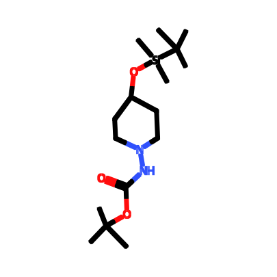 CC(C)(C)OC(=O)NN1CCC(O[Si](C)(C)C(C)(C)C)CC1